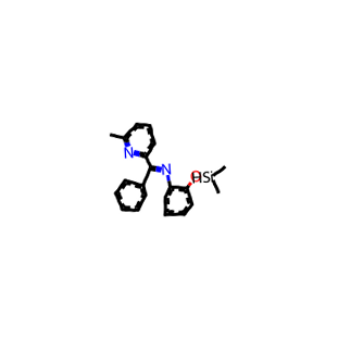 Cc1cccc(C(=Nc2ccccc2O[SiH](C)C)c2ccccc2)n1